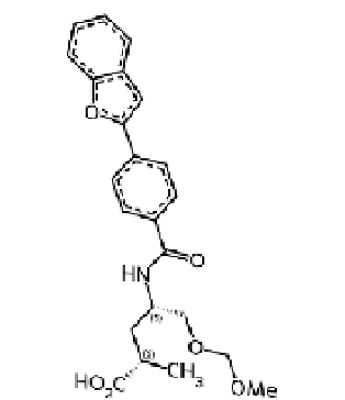 COCOC[C@H](C[C@H](C)C(=O)O)NC(=O)c1ccc(-c2cc3ccccc3o2)cc1